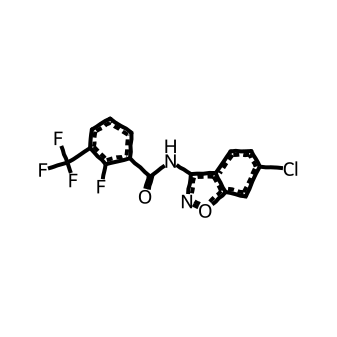 O=C(Nc1noc2cc(Cl)ccc12)c1cccc(C(F)(F)F)c1F